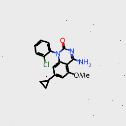 COc1cc(C2CC2)cc2c1c(N)nc(=O)n2-c1ccccc1Cl